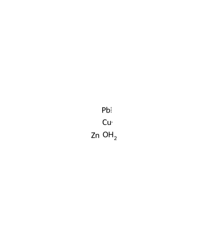 O.[Cu].[Pb].[Zn]